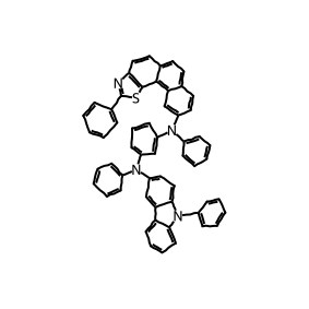 c1ccc(-c2nc3ccc4ccc5ccc(N(c6ccccc6)c6cccc(N(c7ccccc7)c7ccc8c(c7)c7ccccc7n8-c7ccccc7)c6)cc5c4c3s2)cc1